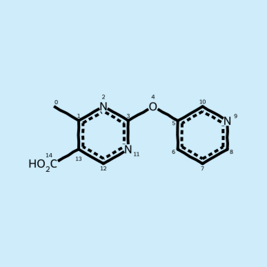 Cc1nc(Oc2cccnc2)ncc1C(=O)O